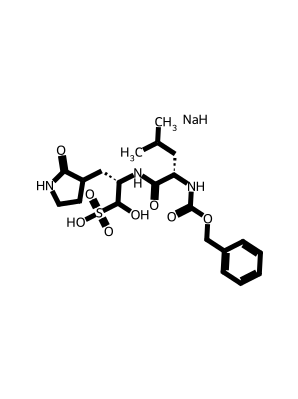 CC(C)C[C@H](NC(=O)OCc1ccccc1)C(=O)N[C@@H](CC1CCNC1=O)C(O)S(=O)(=O)O.[NaH]